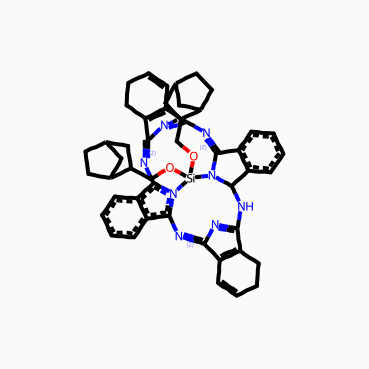 C1=CC2=C(CC1)C1=N/C2=N\c2c3ccccc3c3n2[Si](OCC2CC4CCC2C4)(OCC2CC4CCC2C4)N2/C(=N\C4=NC(=N\3)/C3=C4C=CCC3)c3ccccc3C2N1